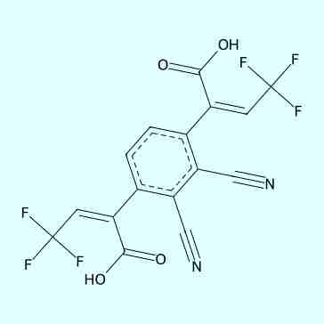 N#Cc1c(C(=CC(F)(F)F)C(=O)O)ccc(C(=CC(F)(F)F)C(=O)O)c1C#N